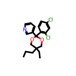 CCCC1(CC)COC(c2cccnc2)(c2ccc(Cl)cc2Cl)OC1